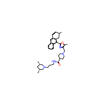 Cc1oc(-c2c3c(cc4ccccc24)C=CC(C)C3)nc1CN1CCC(C(=O)NCCCN2C[C@H](C)C[C@H](C)C2)CC1